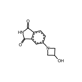 O=C1NC(=O)c2cc(N3CC(O)C3)ccc21